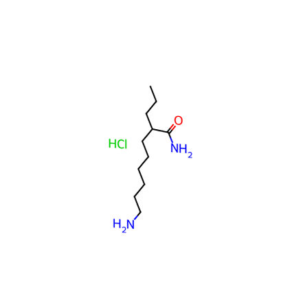 CCCC(CCCCCCN)C(N)=O.Cl